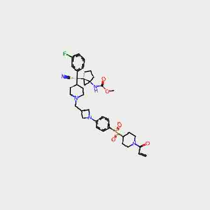 C=CC(=O)N1CCC(S(=O)(=O)c2ccc(N3CC(CN4CCC([C@@](C#N)(c5cccc(F)c5)[C@@]56CCC[C@]5(NC(=O)OC)C6)CC4)C3)cc2)CC1